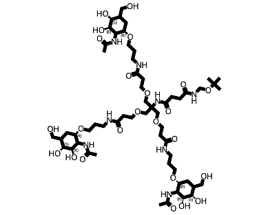 CC(=O)NC1[C@@H](O)[C@@H](O)C(CO)C[C@H]1OCCCNC(=O)CCOCC(COCCC(=O)NCCCO[C@@H]1CC(CO)[C@H](O)[C@H](O)C1NC(C)=O)(COCCC(=O)NCCCO[C@@H]1CC(CO)[C@H](O)[C@H](O)C1NC(C)=O)NC(=O)CCC(=O)NCOC(C)(C)C